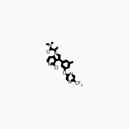 Cc1cc(Oc2cnc(C(F)(F)F)cn2)cc(-c2cn(C(C)C(=O)N(C)C)c3ccnc(Cl)c23)c1